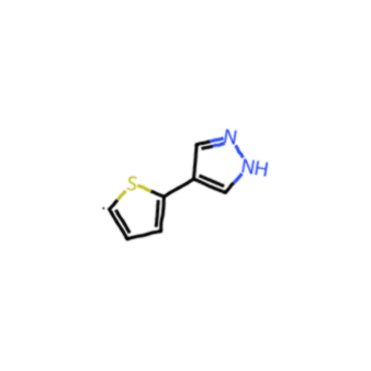 [c]1ccc(-c2cn[nH]c2)s1